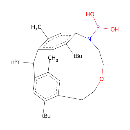 CCCC1c2cc(C(C)(C)C)c(cc2C)CCOCCN(P(O)O)c2cc(C)c1cc2C(C)(C)C